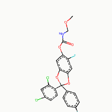 COCNC(=O)Oc1cc2c(cc1F)OC(c1ccc(F)cc1)(c1ccc(Cl)cc1Cl)O2